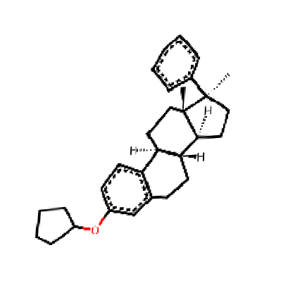 C[C@]12CC[C@@H]3c4ccc(OC5CCCC5)cc4CC[C@H]3[C@@H]1CC[C@]2(C)c1ccccc1